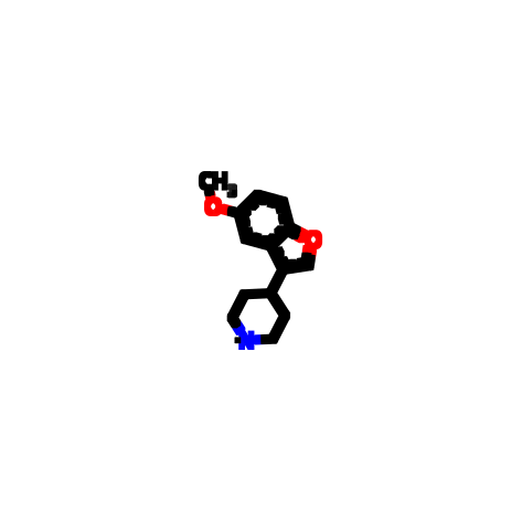 COc1ccc2occ(C3CC[N]CC3)c2c1